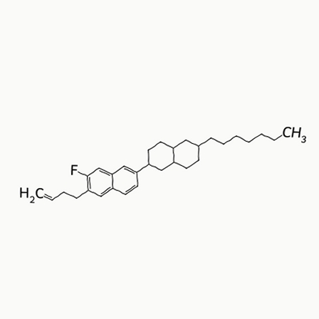 C=CCCc1cc2ccc(C3CCC4CC(CCCCCCC)CCC4C3)cc2cc1F